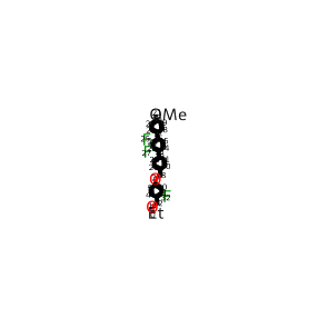 CCOCc1ccc(OCc2ccc(-c3ccc(-c4ccc(OC)cc4)c(F)c3F)cc2)cc1F